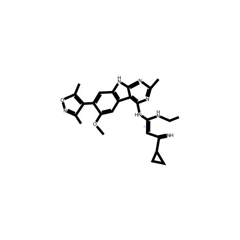 CCN/C(=C\C(=N)C1CC1)Nc1nc(C)nc2[nH]c3cc(-c4c(C)noc4C)c(OC)cc3c12